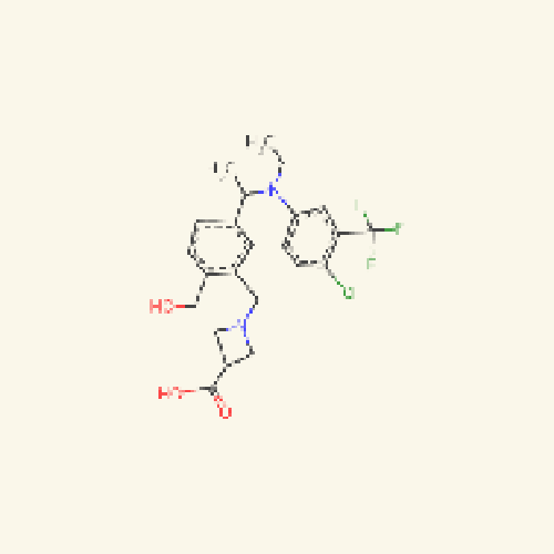 CCN(c1ccc(Cl)c(C(F)(F)F)c1)C(C)c1ccc(CO)c(CN2CC(C(=O)O)C2)c1